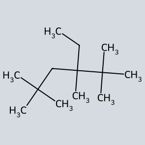 CCC(C)(CC(C)(C)C)C(C)(C)C